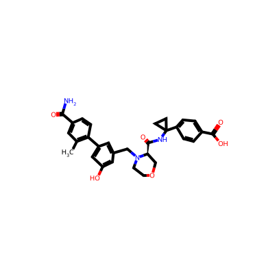 Cc1cc(C(N)=O)ccc1-c1cc(O)cc(CN2CCOC[C@@H]2C(=O)NC2(c3ccc(C(=O)O)cc3)CC2)c1